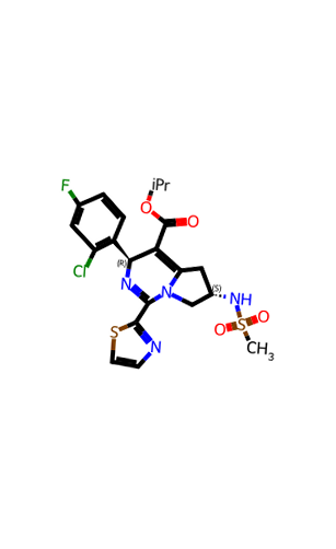 CC(C)OC(=O)C1=C2C[C@H](NS(C)(=O)=O)CN2C(c2nccs2)=N[C@H]1c1ccc(F)cc1Cl